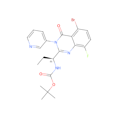 CC[C@H](NC(=O)OC(C)(C)C)c1nc2c(F)ccc(Br)c2c(=O)n1-c1cccnc1